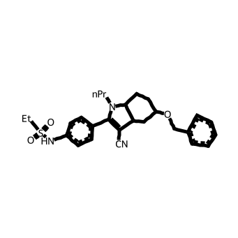 CCCN1C(c2ccc(NS(=O)(=O)CC)cc2)=C(C#N)C2CC(OCc3ccccc3)CCC21